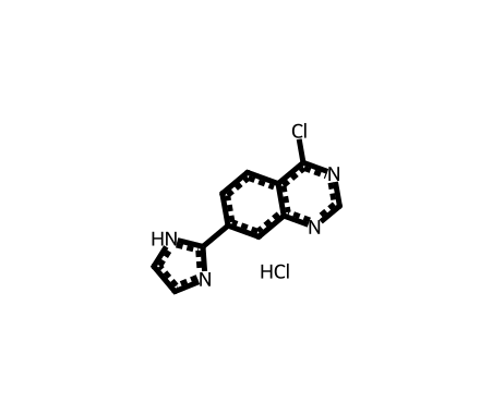 Cl.Clc1ncnc2cc(-c3ncc[nH]3)ccc12